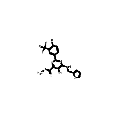 COC(=O)c1nc(-c2ccc(F)c(C(F)(F)F)c2)nc(NCc2ccco2)c1Cl